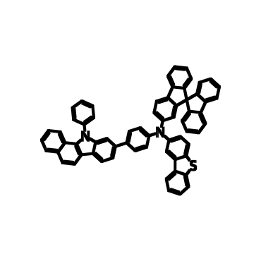 c1ccc(-n2c3cc(-c4ccc(N(c5ccc6c(c5)C5(c7ccccc7-c7ccccc75)c5ccccc5-6)c5ccc6sc7ccccc7c6c5)cc4)ccc3c3ccc4ccccc4c32)cc1